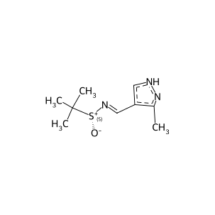 Cc1n[nH]cc1C=N[S@+]([O-])C(C)(C)C